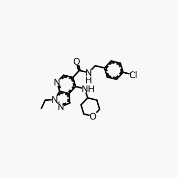 CCn1ncc2c(NC3CCOCC3)c(C(=O)NCc3ccc(Cl)cc3)cnc21